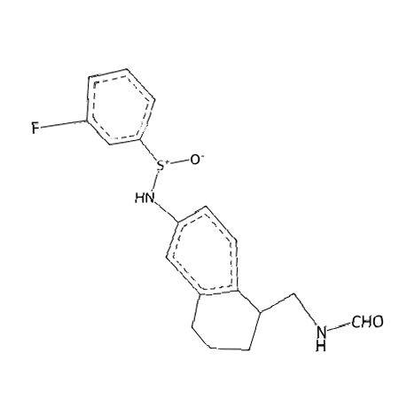 O=CNCC1CCCc2cc(N[S+]([O-])c3cccc(F)c3)ccc21